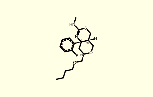 CCCCOC[C@H]1C[C@]2(c3ccccc3F)N=C(NC)SC[C@@H]2CO1